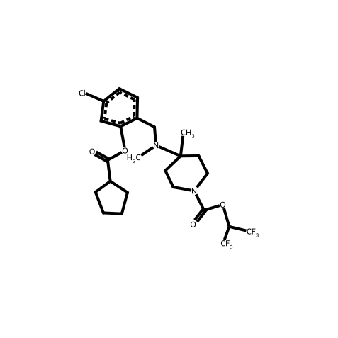 CN(Cc1ccc(Cl)cc1OC(=O)C1CCCC1)C1(C)CCN(C(=O)OC(C(F)(F)F)C(F)(F)F)CC1